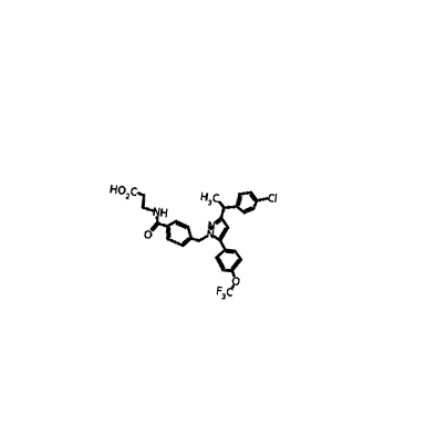 CC(c1ccc(Cl)cc1)c1cc(-c2ccc(OC(F)(F)F)cc2)n(Cc2ccc(C(=O)NCCC(=O)O)cc2)n1